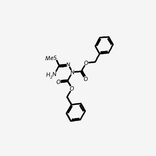 CSC(N)=NN(C(=O)OCc1ccccc1)C(=O)OCc1ccccc1